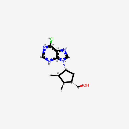 C[C@@H]1[C@@H](CO)C[C@@H](n2cnc3c(Cl)ncnc32)[C@@H]1C